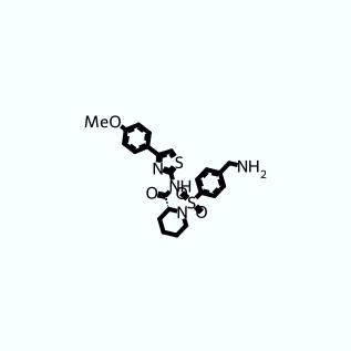 COc1ccc(-c2csc(NC(=O)[C@H]3CCCCN3S(=O)(=O)c3ccc(CN)cc3)n2)cc1